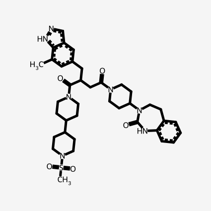 Cc1cc(CC(CC(=O)N2CCC(N3CCc4ccccc4NC3=O)CC2)C(=O)N2CCC(C3CCN(S(C)(=O)=O)CC3)CC2)cc2cn[nH]c12